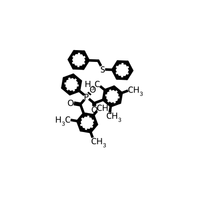 Cc1cc(C)c(C(=O)P(=O)(C(=O)c2c(C)cc(C)cc2C)c2ccccc2)c(C)c1.c1ccc(CSc2ccccc2)cc1